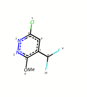 COc1nnc(Cl)cc1C(F)F